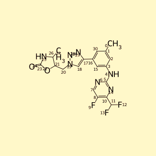 Cc1cc(Nc2ncc(F)c(C(F)F)n2)cc(-c2cn(CC3OC(=O)NC3C)nn2)c1